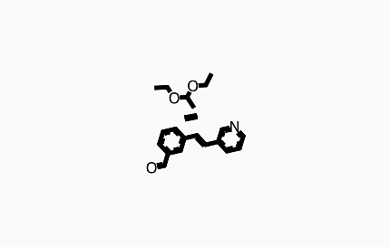 C=C.CCOC(C)OCC.O=Cc1cccc(/C=C/c2cccnc2)c1